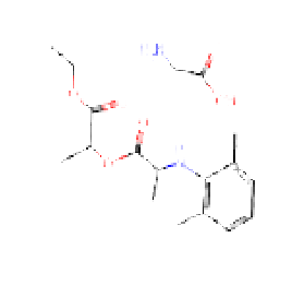 CCOC(=O)C(C)OC(=O)[C@H](C)Nc1c(C)cccc1C.NCC(=O)O